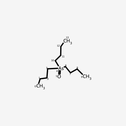 CCCC[As](=O)(CCCC)CCCC